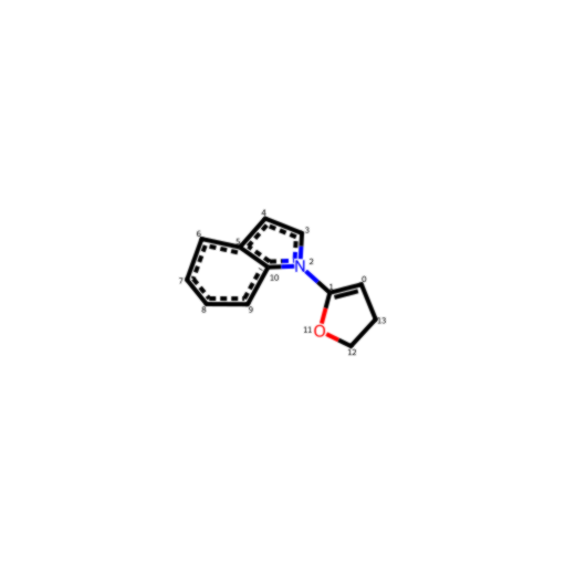 C1=C(n2ccc3ccccc32)OCC1